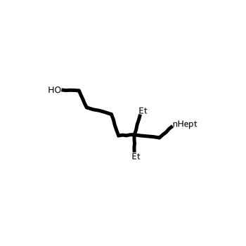 CCCCCCCCC(CC)(CC)CCCCO